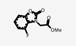 COC(=O)Cn1c(=O)oc2cccc(F)c21